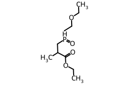 CCOCC[PH](=O)CC(C)C(=O)OCC